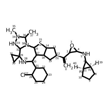 C=C(C1OC1NC1[C@H]2CCC[C@@H]12)[C@@H]1CC2SC3C(C2C1)C(C1CCCCC1Cl)NC1(CC1)C1NN(C)C(C)N31